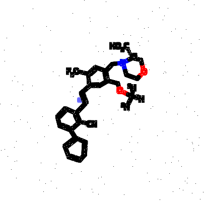 [2H]C([2H])([2H])OCc1cc(/C=C/c2cccc(-c3ccccc3)c2C#N)c(C(F)(F)F)cc1CN1CCOC[C@H]1C(=O)O